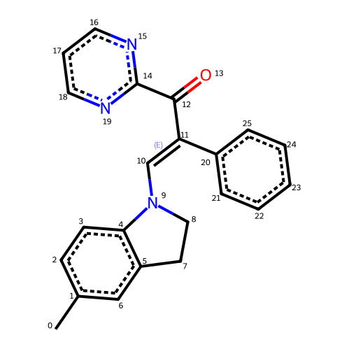 Cc1ccc2c(c1)CCN2/C=C(/C(=O)c1ncccn1)c1ccccc1